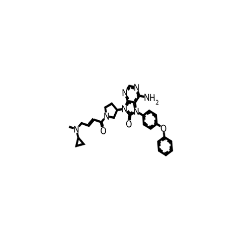 CN(C/C=C/C(=O)N1CCC(n2c(=O)n(-c3ccc(Oc4ccccc4)cc3)c3c(N)ncnc32)C1)C1CC1